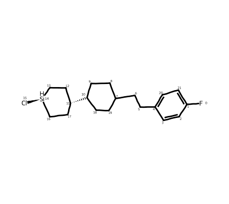 Fc1ccc(CCC2CCC([C@H]3CC[Si@H](Cl)CC3)CC2)cc1